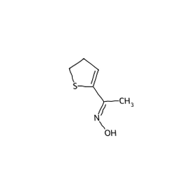 C/C(=N\O)C1=CCCS1